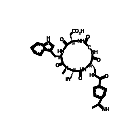 CC(=N)c1ccc(C(=O)NC[C@@H]2NC(=O)[C@H](C(C)C)N(C)C(=O)[C@@H](Cc3c[nH]c4ccccc34)NC(=O)[C@H](CC(=O)O)NC(=O)CNC2=O)cc1